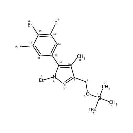 CCn1nc(CO[Si](C)(C)C(C)(C)C)c(C)c1-c1cc(F)c(Br)c(F)c1